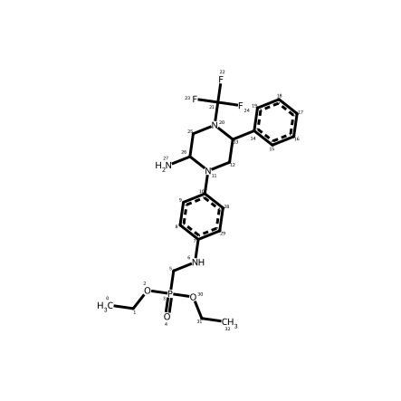 CCOP(=O)(CNc1ccc(N2CC(c3ccccc3)N(C(F)(F)F)CC2N)cc1)OCC